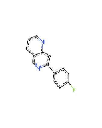 Fc1ccc(-c2cc3ncccc3cn2)cc1